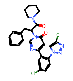 O=C(C(Cc1ccccc1)n1cnc(-c2cc(Cl)ccc2-n2cc(Cl)nn2)cc1=O)N1CCCCC1